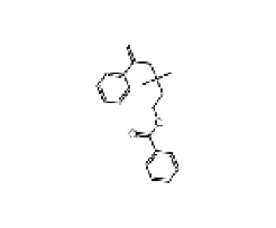 C=C(CC(C)(C)CCOC(=O)c1ccccc1)c1ccccc1